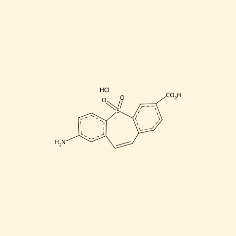 Cl.Nc1ccc2c(c1)C=Cc1ccc(C(=O)O)cc1S2(=O)=O